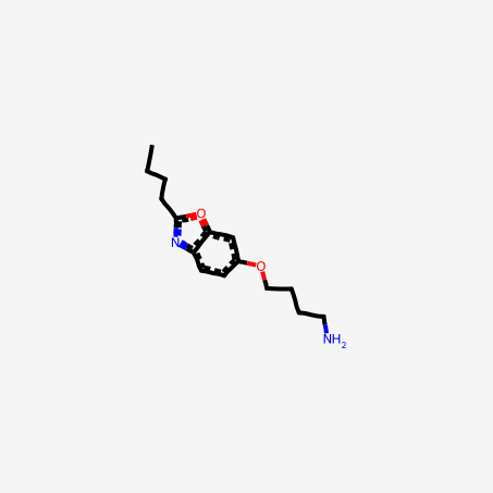 CCCCc1nc2ccc(OCCCCN)cc2o1